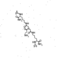 NCCC(=O)N(CC(=O)NCCCCC(NC1SS1)C(N)=O)CC(=O)NCCCCC(NC1SS1)C(N)=O